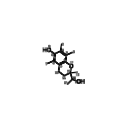 Cc1c(C)c2c(c(C)c1O)CCC(C)(C(C)O)O2